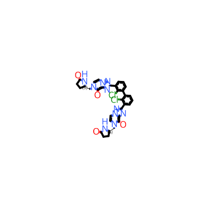 O=C1CC[C@@H](Cn2ccn3nc(-c4cccc(-c5cccc(-c6nc7c(=O)n(C[C@@H]8CCC(=O)N8)ccn7n6)c5Cl)c4Cl)nc3c2=O)N1